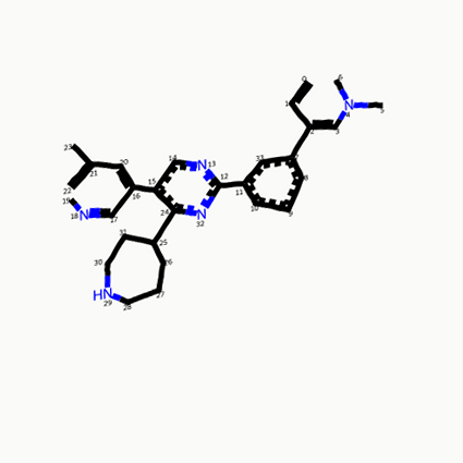 C=C/C(=C\N(C)C)c1cccc(-c2ncc(C(/C=N\C)=C/C(=C)C)c(C3CCCNCC3)n2)c1